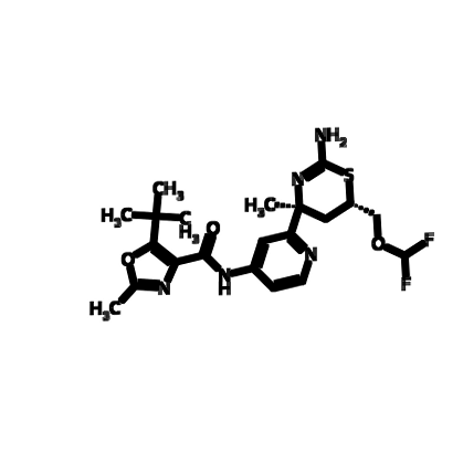 Cc1nc(C(=O)Nc2ccnc([C@]3(C)C[C@@H](COC(F)F)SC(N)=N3)c2)c(C(C)(C)C)o1